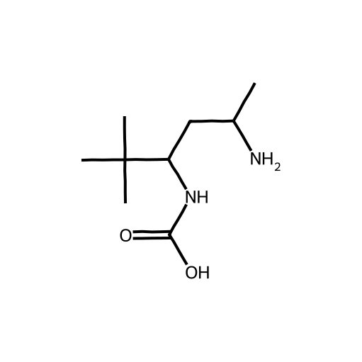 CC(N)CC(NC(=O)O)C(C)(C)C